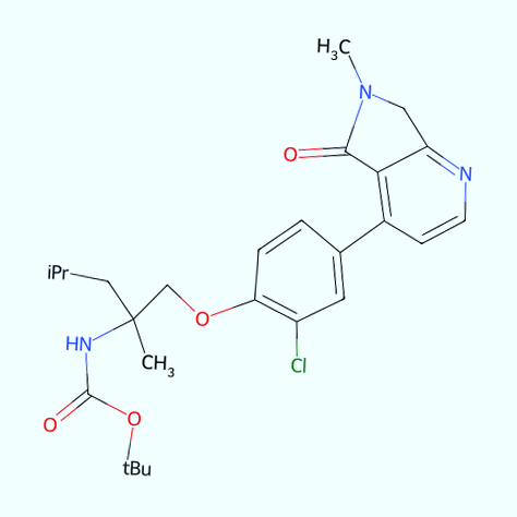 CC(C)CC(C)(COc1ccc(-c2ccnc3c2C(=O)N(C)C3)cc1Cl)NC(=O)OC(C)(C)C